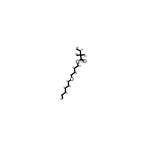 CCCCCCOCCCCOC(=O)C(C)(C)CC